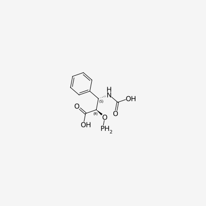 O=C(O)N[C@@H](c1ccccc1)[C@@H](OP)C(=O)O